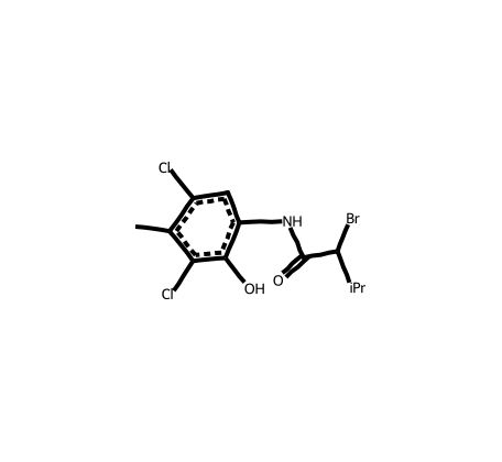 Cc1c(Cl)cc(NC(=O)C(Br)C(C)C)c(O)c1Cl